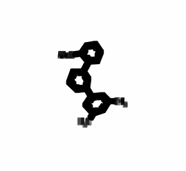 COc1ccccc1-c1cccc(-c2cc(C)cc(C)c2)c1